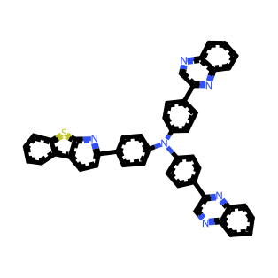 c1ccc2nc(-c3ccc(N(c4ccc(-c5cnc6ccccc6n5)cc4)c4ccc(-c5ccc6c(n5)sc5ccccc56)cc4)cc3)cnc2c1